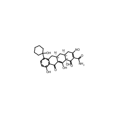 NC(=O)C1=C(N=O)C[C@@H]2C[C@@H]3Cc4c(C5(O)CCCCC5)ccc(O)c4C(=O)C3=C(O)[C@]2(O)C1=O